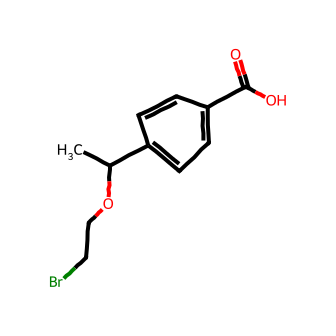 CC(OCCBr)c1ccc(C(=O)O)cc1